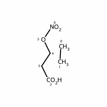 CC.O=C(O)CCO[N+](=O)[O-]